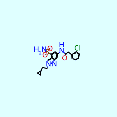 NS(=O)(=O)c1cc(NC(=O)Cc2ccccc2Cl)cc2nn(CCC3CC3)cc12